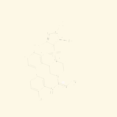 Cc1ccccc1N/C(=N/C#N)N1CCN(S(=O)(=O)c2c(C)nn(C)c2Cl)C(c2ccccc2)C1